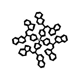 C(=C(/c1cc[c]([Sn]([c]2ccc(/C(=C\c3cccc4ccccc34)c3ccc4ccccc4c3)cc2)([c]2ccc(/C(=C\c3cccc4ccccc34)c3ccc4ccccc4c3)cc2)[c]2ccc(/C(=C\c3cccc4ccccc34)c3ccc4ccccc4c3)cc2)cc1)c1ccc2ccccc2c1)/c1cccc2ccccc12